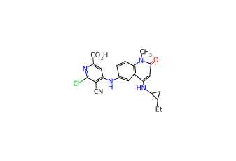 CC[C@@H]1CC1Nc1cc(=O)n(C)c2ccc(Nc3cc(C(=O)O)nc(Cl)c3C#N)cc12